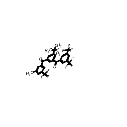 Cc1cc(C(=O)c2cc(C(=O)c3cc(C(F)(F)F)cc(C(F)(F)F)c3)cc(C(C)(C)C)c2)cc(C(F)(F)F)c1